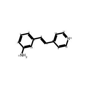 Nc1cccc(C=Cc2ccncc2)c1